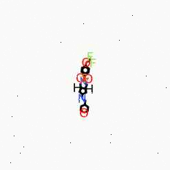 CN(CC1CCOCC1)C1C[C@@H]2CN(S(=O)(=O)c3ccc(OC(F)F)cc3)C[C@@H]2C1